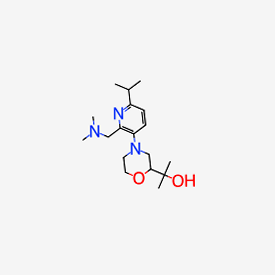 CC(C)c1ccc(N2CCOC(C(C)(C)O)C2)c(CN(C)C)n1